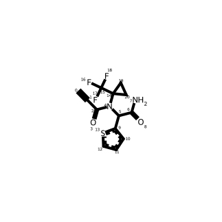 C#CC(=O)N(C(C(N)=O)c1cccs1)C1(C(F)(F)F)CC1